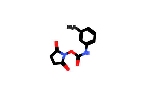 O=C(Nc1cccc(C(=O)O)c1)ON1C(=O)CCC1=O